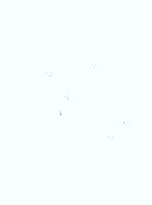 COc1ccc(-c2ccc(OC)c(OC)c2)c(C(=O)N[C@@H](CO)Cc2c[nH]c3ccccc23)c1